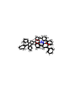 c1ccc(-c2ccc(N(c3ccc(-c4ccc5c(-c6ccccc6)c(-c6ccccc6)c6ccccc6c5c4)cc3)c3c(-c4ccccc4)cccc3-c3ccccc3)c(-c3ccccc3)c2)cc1